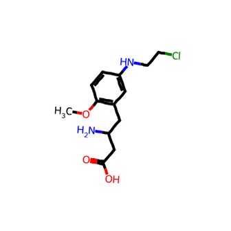 COc1ccc(NCCCl)cc1CC(N)CC(=O)O